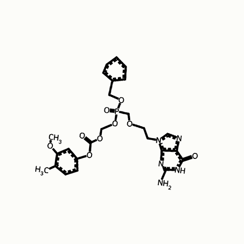 COc1cc(OC(=O)OCOP(=O)(COCCn2cnc3c(=O)[nH]c(N)nc32)OCc2ccccc2)ccc1C